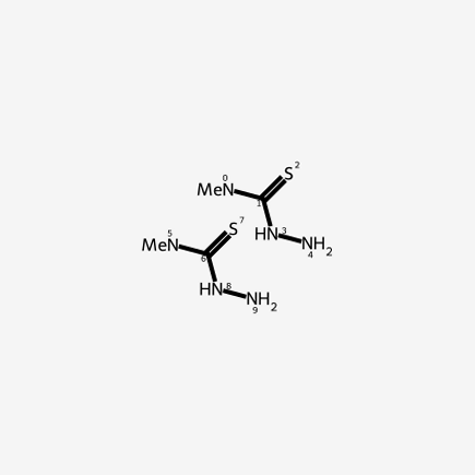 CNC(=S)NN.CNC(=S)NN